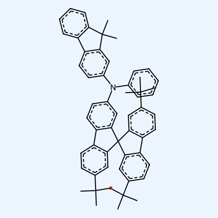 CC(C)(C)c1ccc2c(c1)C1(c3cc(N(c4ccccc4)c4ccc5c(c4)C(C)(C)c4ccccc4-5)ccc3-2)c2cc(C(C)(C)C)ccc2-c2ccc(C(C)(C)C)cc21